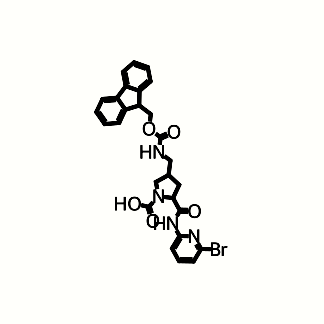 O=C(NCC1CC(C(=O)Nc2cccc(Br)n2)N(C(=O)O)C1)OCC1c2ccccc2-c2ccccc21